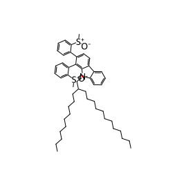 CCCCCCCCCCCCC(CCCCCCCCCC)Cn1c2ccccc2c2ccc(-c3ccccc3[S+](C)[O-])c(-c3ccccc3[S+](C)[O-])c21